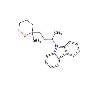 CC(CCC1([SiH3])CCCCO1)n1c2ccccc2c2ccccc21